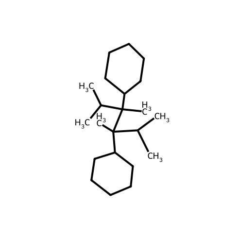 CC(C)C(C)(C1CCCCC1)C(C)(C(C)C)C1CCCCC1